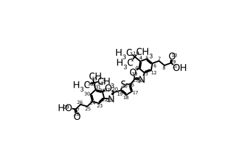 CC(C)(C)c1cc(CCC(=O)O)cc2nc(-c3ccc(-c4nc5cc(CCC(=O)O)cc(C(C)(C)C)c5o4)s3)oc12